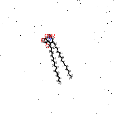 CCCCCCCCCCCCCCCCC1CN(O)C(C(C)=O)(C(=O)O)C1CCCCCCCCCCCCCCCC